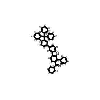 c1ccc(-c2nc3ccccc3c3c2ccc2c4cc(-c5ccc6c(c5)C(c5ccccc5)(c5ccccc5)c5ccccc5-6)ccc4oc23)cc1